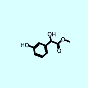 COC(=O)C(O)c1cccc(O)c1